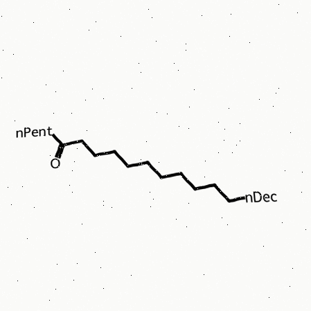 CCCCCCCCCCCCCCCCCCCCC(=O)CCCCC